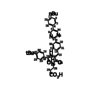 CCCCc1ccc(-c2cnc(-c3ccc(C[C@H](NC(=O)c4ccc(C(C)(C)C)cc4)C(=O)NCCC(=O)O)cc3)nc2)cc1